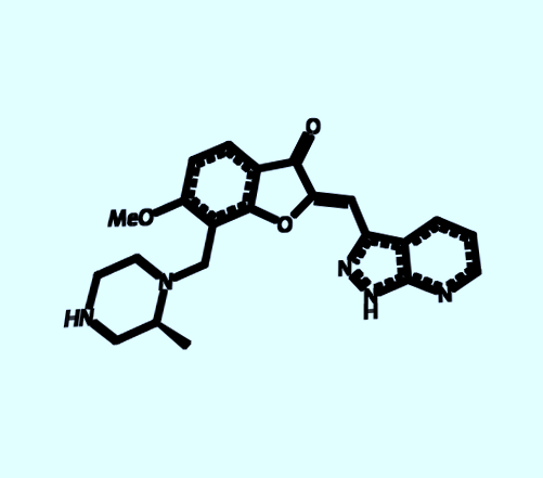 COc1ccc2c(c1CN1CCNC[C@@H]1C)O/C(=C\c1n[nH]c3ncccc13)C2=O